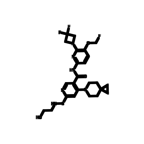 O=C(Nc1ccc(OCF)c(N2CC(F)(F)C2)n1)c1cnc(SNCCO)cc1N1CCC2(CC1)CC2